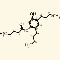 CCCCC(=O)Oc1cc(O)c(CCCC)cc1CCCC